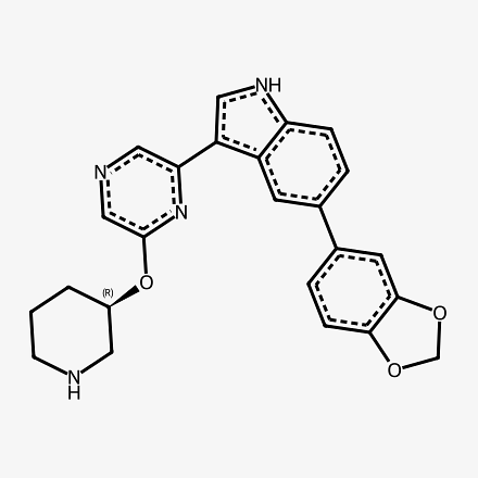 c1cc2c(cc1-c1ccc3[nH]cc(-c4cncc(O[C@@H]5CCCNC5)n4)c3c1)OCO2